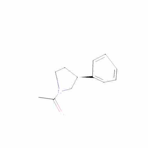 CC(=O)N1C[C@H](c2ccccc2)[C@@H](C)C1